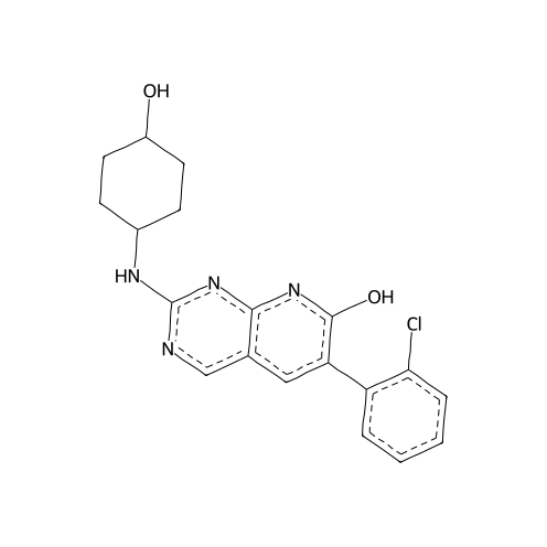 Oc1nc2nc(NC3CCC(O)CC3)ncc2cc1-c1ccccc1Cl